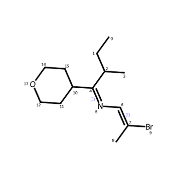 CCC(C)/C(=N\C=C(/C)Br)C1CCOCC1